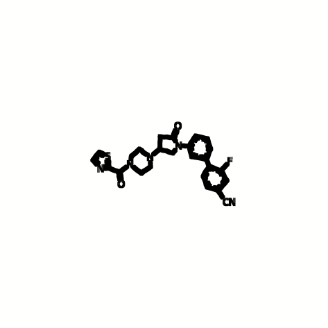 N#Cc1ccc(-c2cccc(N3CC(N4CCN(C(=O)c5nccs5)CC4)CC3=O)c2)c(F)c1